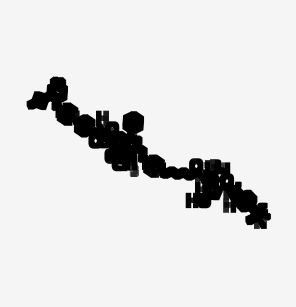 Cc1ncsc1-c1ccc([C@H](C)NC(=O)[C@@H]2C[C@@H](O)CN2C(=O)C(NC(=O)CCCCCN2CCN(CCC(CSc3ccccc3)Nc3ccc(S(=O)(=O)NC(=O)c4ccc(N5CCN(CC6=C(C78CC(C)(C7)C8)CC(C)(C)CC6)CC5)cc4)cc3S(=O)(=O)C(F)(F)F)CC2)C(C)(C)C)cc1